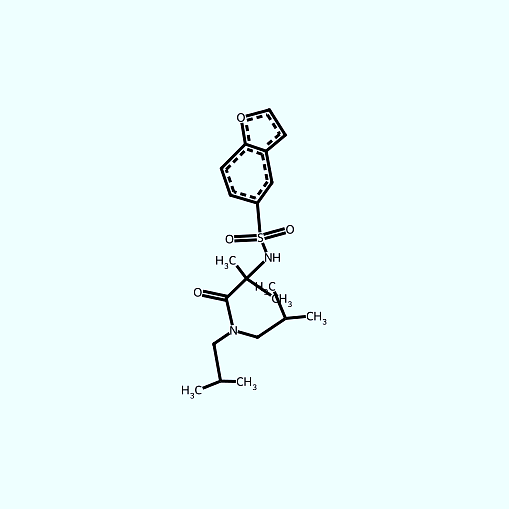 CC(C)CN(CC(C)C)C(=O)C(C)(C)NS(=O)(=O)c1ccc2occc2c1